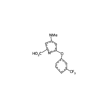 CNc1cc(Oc2cccc(C(F)(F)F)c2)nc(C(=O)O)c1